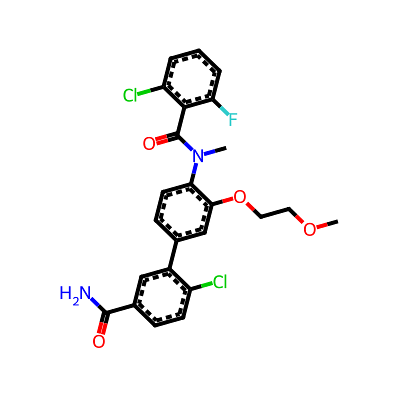 COCCOc1cc(-c2cc(C(N)=O)ccc2Cl)ccc1N(C)C(=O)c1c(F)cccc1Cl